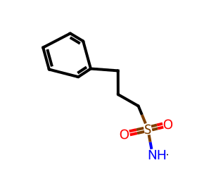 [NH]S(=O)(=O)CCCc1ccccc1